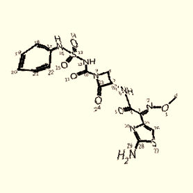 CON=C(C(=O)N[C@H]1CN(C(=O)NS(=O)(=O)Nc2ccccc2)C1=O)c1csc(N)n1